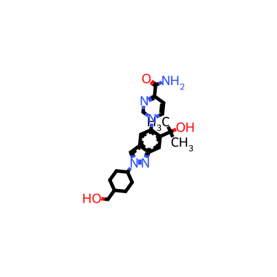 CC(C)(O)c1cc2nn(C3CCC(CO)CC3)cc2cc1N1C=CC(C(N)=O)=NC1